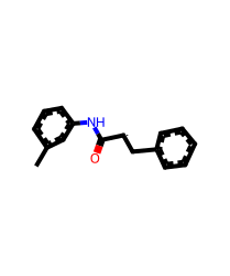 Cc1cccc(NC(=O)[CH]Cc2ccccc2)c1